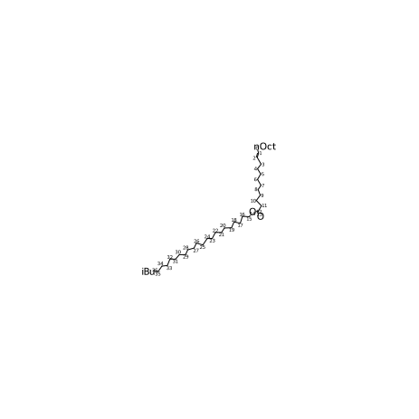 CCCCCCCCC=CCCCCCCCCCC(=O)OCCCCCCCCCCCCCCCCCCCCCC(C)CC